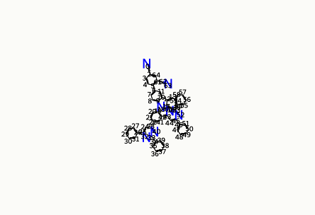 N#Cc1ccc(-c2ccc3c(c2)c2ccccc2n3-c2ccc(-c3cc(-c4ccccc4)nc(-c4ccccc4)n3)cc2-c2cc(-c3ccccc3)nc(-c3ccccc3)n2)c(C#N)c1